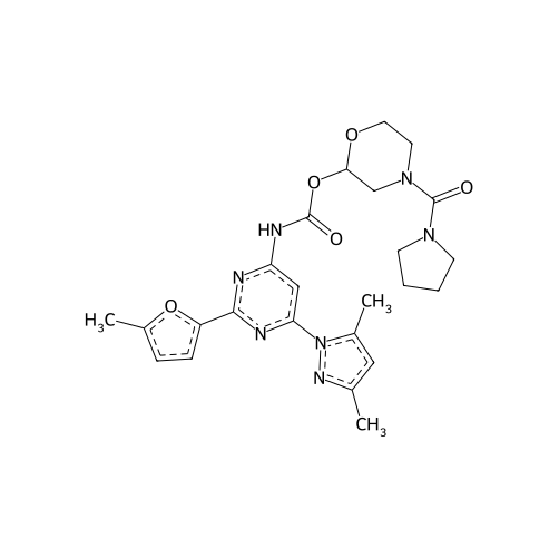 Cc1cc(C)n(-c2cc(NC(=O)OC3CN(C(=O)N4CCCC4)CCO3)nc(-c3ccc(C)o3)n2)n1